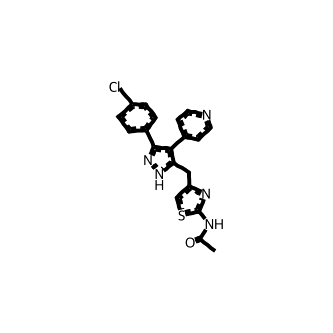 CC(=O)Nc1nc(Cc2[nH]nc(-c3ccc(Cl)cc3)c2-c2ccncc2)cs1